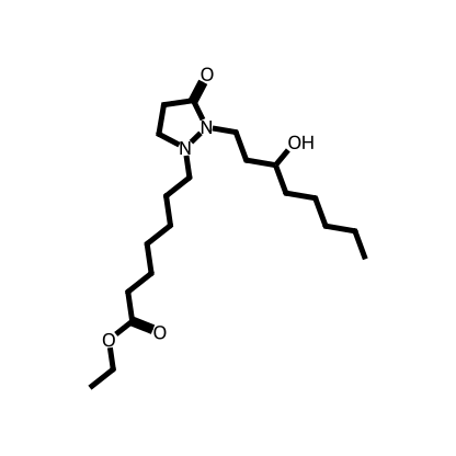 CCCCCC(O)CCN1C(=O)CCN1CCCCCCC(=O)OCC